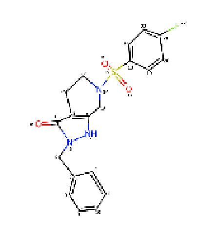 O=c1c2c([nH]n1Cc1ccccc1)CN(S(=O)(=O)c1ccc(F)cc1)CC2